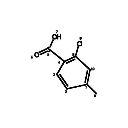 Cc1ccc(S(=O)O)c(Cl)c1